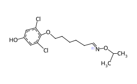 CC(C)O/N=C/CCCCCOc1c(Cl)cc(O)cc1Cl